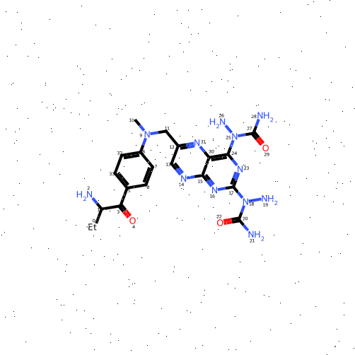 C[CH]C(N)C(=O)c1ccc(N(C)Cc2cnc3nc(N(N)C(N)=O)nc(N(N)C(N)=O)c3n2)cc1